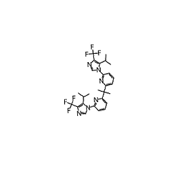 CC(C)c1c(C(F)(F)F)ncn1-c1cccc(C(C)(C)c2cccc(-n3cnc(C(F)(F)F)c3C(C)C)n2)n1